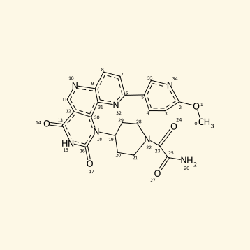 COc1ccc(-c2ccc3ncc4c(=O)[nH]c(=O)n(C5CCN(C(=O)C(N)=O)CC5)c4c3n2)cn1